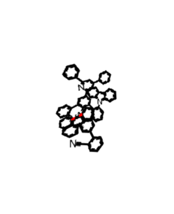 N#Cc1ccccc1-c1ccc2c(c1)c1ccccc1n2-c1c(-c2ccccc2-n2c3ccccc3c3ccccc32)cc(-c2cc(-c3ccccc3)cc(-c3ccccc3)n2)cc1-c1ccccc1-n1c2ccccc2c2ccccc21